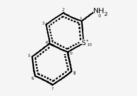 Nc1ccc2ccccc2[s+]1